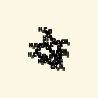 C=CC(=O)OCCOCC(C)OCC(C)OCC(C)OCC(C)OCC(C)OCC(C)OCC(C)OCC(C)OCC(C)OCC(C)OCC(C)OCCOC(=O)C=C